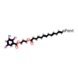 CCCCCC=CCC=CCC=CCCCCC(=O)OCCCOC(=O)c1cc(I)cc(I)c1I